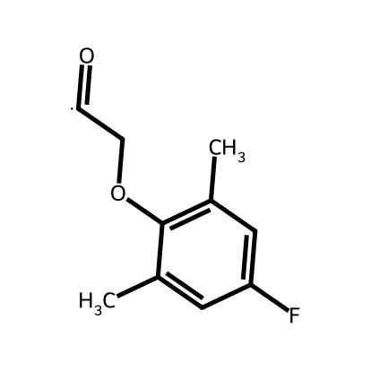 Cc1cc(F)cc(C)c1OC[C]=O